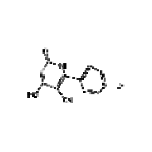 N#Cc1c(O)cc(=O)[nH]c1-c1ccc(Br)cc1